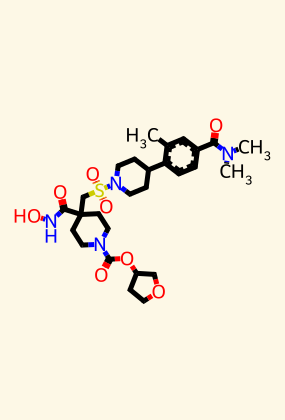 Cc1cc(C(=O)N(C)C)ccc1C1CCN(S(=O)(=O)CC2(C(=O)NO)CCN(C(=O)OC3CCOC3)CC2)CC1